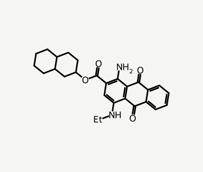 CCNc1cc(C(=O)OC2CCC3CCCCC3C2)c(N)c2c1C(=O)c1ccccc1C2=O